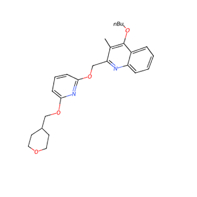 CCCCOc1c(C)c(COc2cccc(OCC3CCOCC3)n2)nc2ccccc12